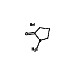 CN1CCCC1=O.[Sn]